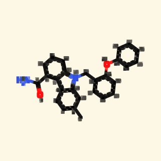 Cc1c[c]c2c3c(C(N)=O)cccc3n(Cc3ccccc3Oc3ccccc3)c2c1